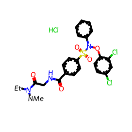 CCN(NC)C(=O)CNC(=O)c1ccc(S(=O)(=O)N(Oc2ccc(Cl)cc2Cl)c2ccccc2)cc1.Cl